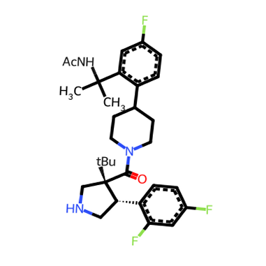 CC(=O)NC(C)(C)c1cc(F)ccc1C1CCN(C(=O)[C@@]2(C(C)(C)C)CNC[C@H]2c2ccc(F)cc2F)CC1